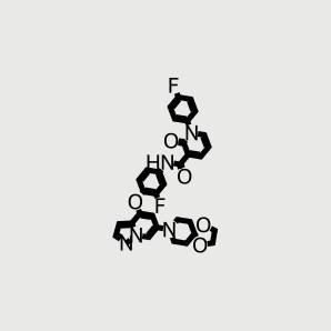 O=C(Nc1ccc(Oc2cc(N3CCC4(CC3)OCCO4)cn3nccc23)c(F)c1)c1cccn(-c2ccc(F)cc2)c1=O